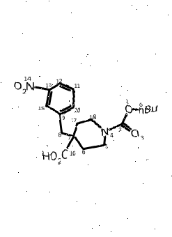 CCCCOC(=O)N1CCC(Cc2cccc([N+](=O)[O-])c2)(C(=O)O)CC1